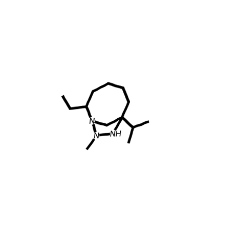 CCC1CCCCC2(C(C)C)CN1N(C)N2